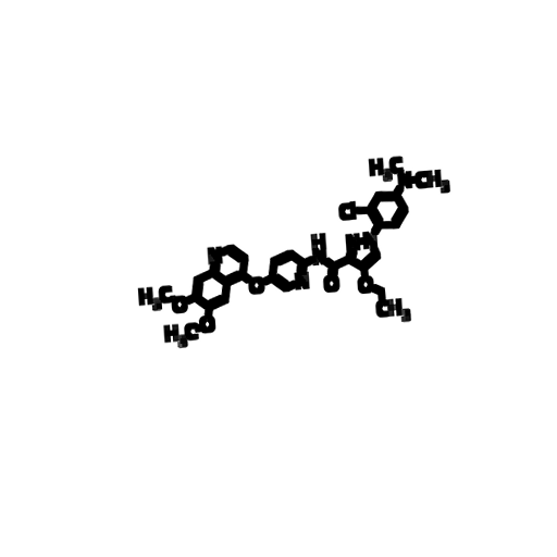 CCOc1cn(-c2ccc(N(C)C)cc2Cl)nc1C(=O)Nc1ccc(Oc2ccnc3cc(OC)c(OC)cc23)cn1